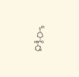 CCSc1ccc(C(=O)Nc2cccnc2)cc1